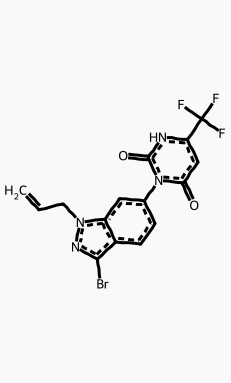 C=CCn1nc(Br)c2ccc(-n3c(=O)cc(C(F)(F)F)[nH]c3=O)cc21